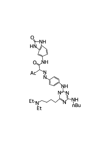 CCCCNc1nc(CCCCN(CC)CC)nc(Nc2ccc(/N=N/C(C(C)=O)C(=O)Nc3ccc4[nH]c(=O)[nH]c4c3)cc2)n1